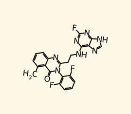 Cc1cccc2nc(CCNc3nc(F)nc4[nH]cnc34)n(-c3c(F)cccc3F)c(=O)c12